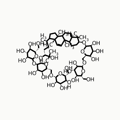 C[C@H](CC[C@@H](O[C@@H]1O[C@H](CO[C@@H]2O[C@H](CO)[C@@H](O)[C@H](O)[C@H]2O)[C@@H](O)[C@H](O)[C@H]1OC1O[C@@H](CO)[C@H](O)[C@@H](O)[C@@H]1O)C(C)(C)O)C1CC[C@@]2(C)C3CC=C4C(CC[C@H](O[C@@H]5O[C@H](CO[C@@H]6O[C@H](CO)[C@@H](O)[C@H](O)[C@H]6O)[C@@H](O)[C@H](O)[C@H]5O)C4(C)C)[C@]3(C)C=C[C@]12C